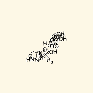 BP(=O)(OC[C@H]1OC(n2cc3c4c(ncnc42)NOCC3)[C@](C)(O)[C@@H]1O)OP(=O)(O)C(F)(F)P(=O)(O)O